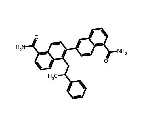 C[C@@H](Cc1c(-c2ccc3c(C(N)=O)cccc3c2)ccc2c(C(N)=O)cccc12)c1ccccc1